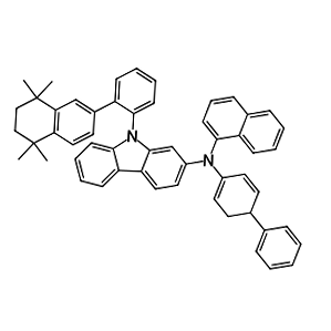 CC1(C)CCC(C)(C)c2cc(-c3ccccc3-n3c4ccccc4c4ccc(N(C5=CCC(c6ccccc6)C=C5)c5cccc6ccccc56)cc43)ccc21